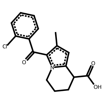 Cc1cc2n(c1C(=O)c1ccccc1Cl)CCCC2C(=O)O